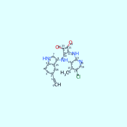 C#Cc1ccc2[nH]cc(Nc3c(Nc4cc(C)c(Cl)cn4)c(=O)c3=O)c2c1